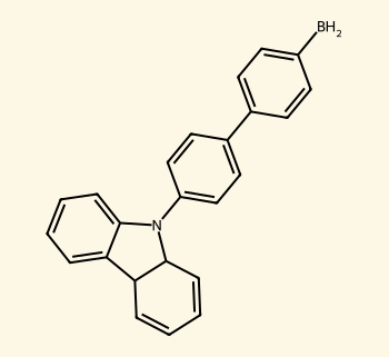 Bc1ccc(-c2ccc(N3c4ccccc4C4C=CC=CC43)cc2)cc1